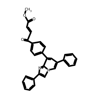 COC(=O)C=CC(=O)c1ccc(-c2cc(-c3ccccc3)cn3cc(-c4ccccc4)nc23)cc1